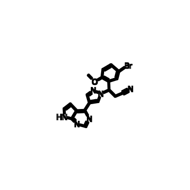 COc1ccc(Br)cc1C(CC#N)n1cc(-c2ncnc3[nH]ccc23)cn1